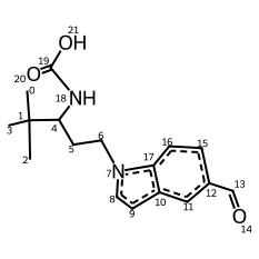 CC(C)(C)C(CCn1ccc2cc(C=O)ccc21)NC(=O)O